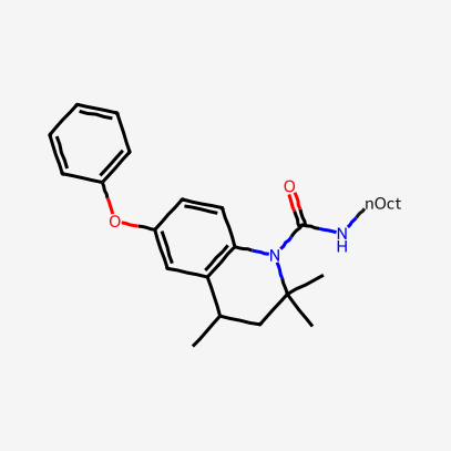 CCCCCCCCNC(=O)N1c2ccc(Oc3ccccc3)cc2C(C)CC1(C)C